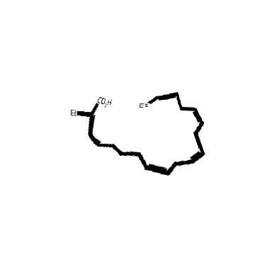 CC/C=C\C/C=C\C/C=C\C/C=C\CCCC=C=C(CC)C(=O)O